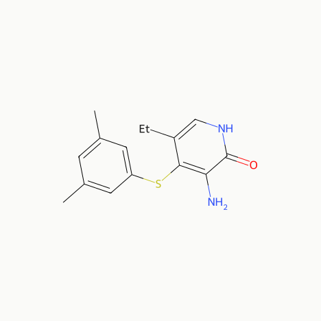 CCc1c[nH]c(=O)c(N)c1Sc1cc(C)cc(C)c1